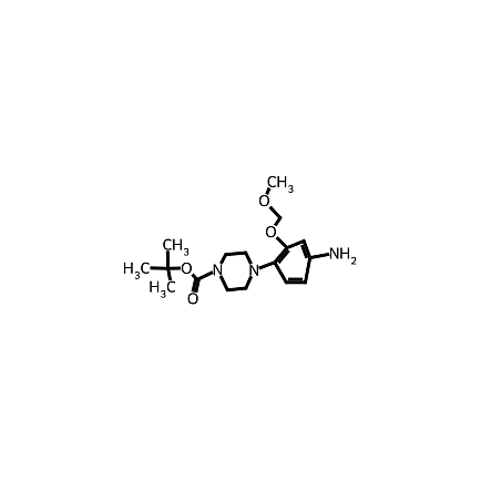 COCOc1cc(N)ccc1N1CCN(C(=O)OC(C)(C)C)CC1